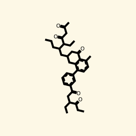 CCCC(CC1CC(=O)c2c(C)ccc(-c3cccc(C(=O)CC(CC)C(=O)CC)c3)c2C1)C(CC)C(=O)CC(C)=O